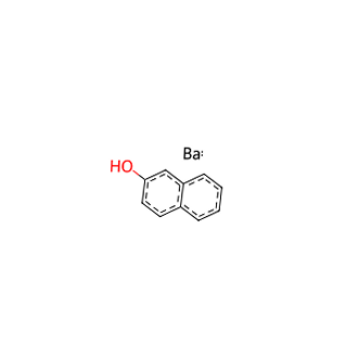 Oc1ccc2ccccc2c1.[Ba]